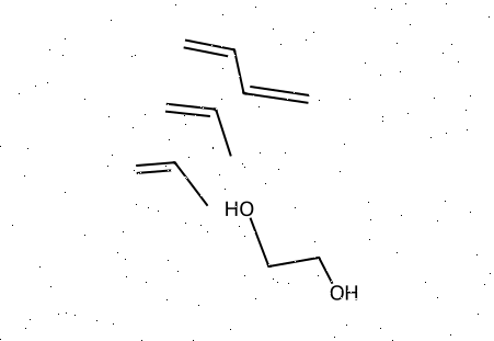 C=CC.C=CC.C=CC=C.OCCO